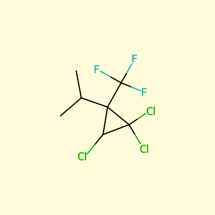 CC(C)C1(C(F)(F)F)C(Cl)C1(Cl)Cl